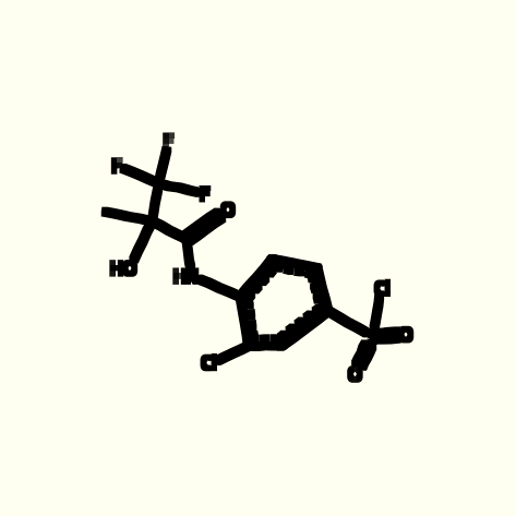 CC(O)(C(=O)Nc1ccc(S(=O)(=O)Cl)cc1Cl)C(F)(F)F